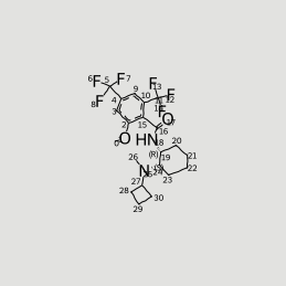 COc1cc(C(F)(F)F)cc(C(F)(F)F)c1C(=O)N[C@@H]1CCCC[C@@H]1N(C)C1CCC1